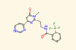 Cn1c(CCNC(=O)c2ccccc2C(F)(F)F)nc(-c2ccncn2)cc1=O